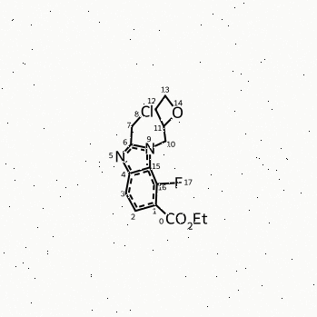 CCOC(=O)c1ccc2nc(CCl)n(CC3CCO3)c2c1F